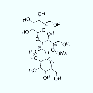 COO[C@H](CO)C(O)C(OC1O[C@H](CO)C(O)C(O)C1O)[C@H](C)O[C@@H]1OC(CO)C(O)C(O)C1O